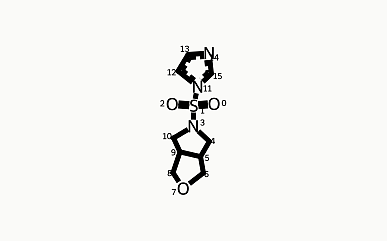 O=S(=O)(N1CC2COCC2C1)n1ccnc1